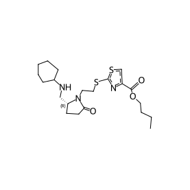 CCCCOC(=O)c1csc(SCCN2C(=O)CC[C@@H]2CNC2CCCCC2)n1